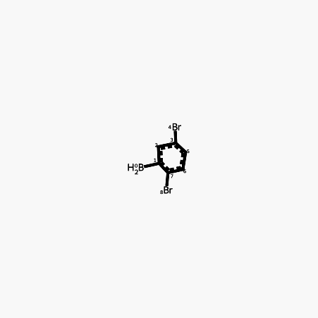 Bc1cc(Br)ccc1Br